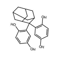 Oc1ccc(O)c(C2(c3cc(O)ccc3O)C3CC4CC(C3)CC2C4)c1